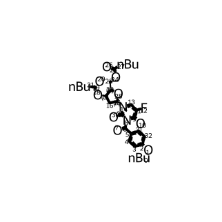 CCCCOc1ccc(C(=O)n2c(=O)c(F)cn([C@H]3C[C@H](OC(=O)CCCC)[C@@H](COC(=O)CCCC)O3)c2=O)cc1